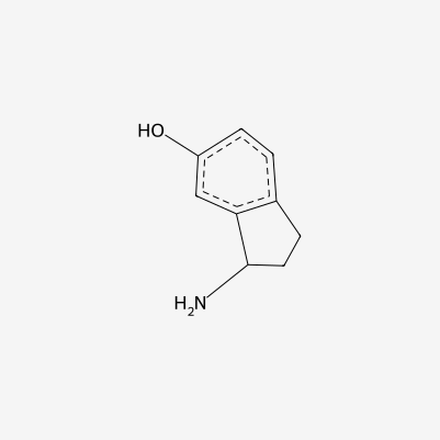 NC1CCc2ccc(O)cc21